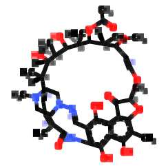 COC1/C=C/O[C@@]2(C)Oc3c(C)c(O)c4c(O)c(c(/C=N/N5CCN(C)CC5)c(O)c4c3C2=O)NC(=O)/C(C)=C\C=C\[C@H](C)[C@H](O)[C@@H](C)C(O)[C@@H](C)C(OC(C)=O)[C@@H]1C